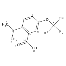 CC(C)c1ccc(OC(F)(F)F)cc1C(=O)O